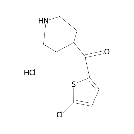 Cl.O=C(c1ccc(Cl)s1)C1CCNCC1